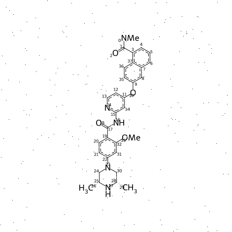 CNC(=O)c1cccc2cc(Oc3ccnc(NC(=O)c4ccc(N5C[C@@H](C)N[C@@H](C)C5)cc4OC)c3)ccc12